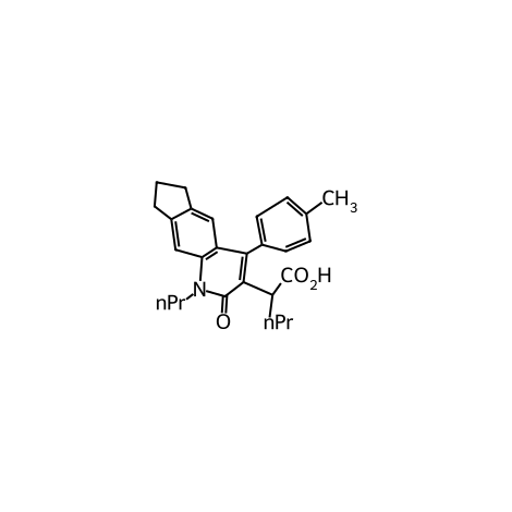 CCCC(C(=O)O)c1c(-c2ccc(C)cc2)c2cc3c(cc2n(CCC)c1=O)CCC3